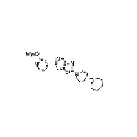 COc1cc(-c2cc3sc(N4CCC(N5CCCCC5)CC4)nc3cn2)ccn1